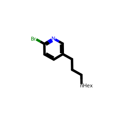 CCCCCCCCCc1ccc(Br)nc1